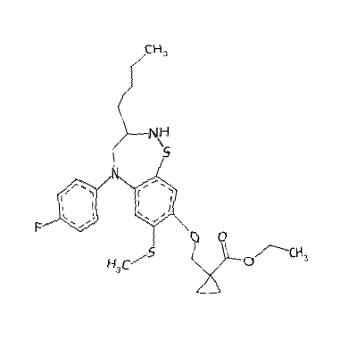 CCCCC1CN(c2ccc(F)cc2)c2cc(SC)c(OCC3(C(=O)OCC)CC3)cc2SN1